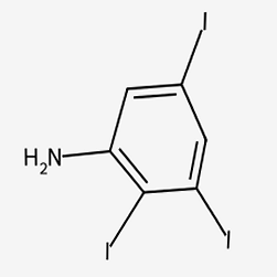 Nc1cc(I)cc(I)c1I